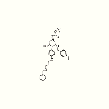 C=Cc1ccc(COC2CN(OC(=O)OC(C)(C)C)CC(O)C2c2ccc(OCCCOCc3ccccc3)cc2)cc1